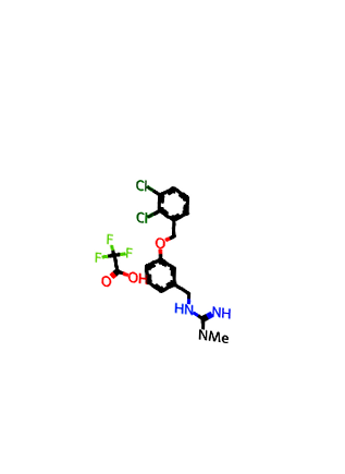 CNC(=N)NCc1cccc(OCc2cccc(Cl)c2Cl)c1.O=C(O)C(F)(F)F